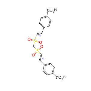 O=C(O)c1ccc(/C=C/S(=O)(=O)CS(=O)(=O)/C=C/c2ccc(C(=O)O)cc2)cc1